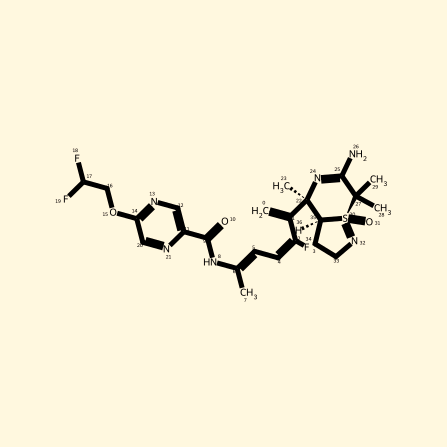 C=C(/C(F)=C\C=C(/C)NC(=O)c1cnc(OCC(F)F)cn1)[C@@]1(C)N=C(N)C(C)(C)[S@@]2(=O)=NCC[C@@H]12